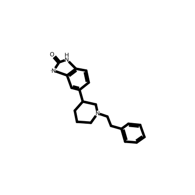 O=C1[N]c2cc(C3CCCN(CCc4ccccc4)C3)ccc2N1